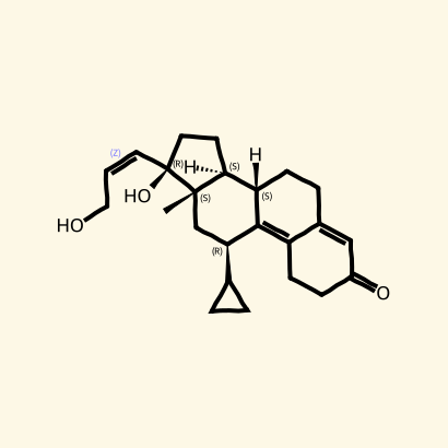 C[C@]12C[C@H](C3CC3)C3=C4CCC(=O)C=C4CC[C@H]3[C@@H]1CC[C@@]2(O)/C=C\CO